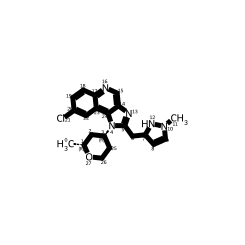 C[C@@H]1C[C@H](n2c(CC3C=CN(C)N3)nc3cnc4ccc(Cl)cc4c32)CCO1